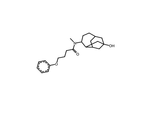 CN(C(=O)CCCOc1ccccc1)C1CCC2CC3CC(O)(C2)CC31